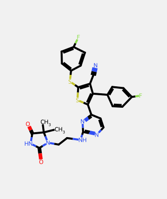 CC1(C)C(=O)NC(=O)N1CCNc1nccc(-c2sc(Sc3ccc(F)cc3)c(C#N)c2-c2ccc(F)cc2)n1